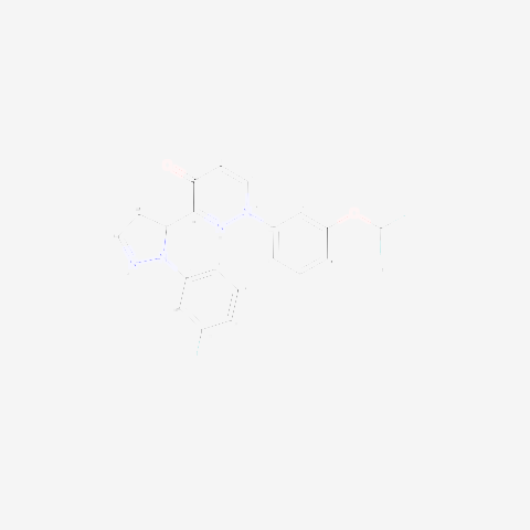 O=c1ccn(-c2cccc(OC(F)F)c2)nc1C1CC=NN1c1cccc(F)c1